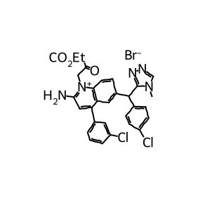 CCOC(=O)C(=O)C[n+]1c(N)cc(-c2cccc(Cl)c2)c2cc(C(c3ccc(Cl)cc3)c3nncn3C)ccc21.[Br-]